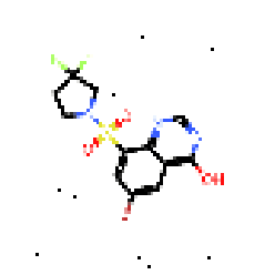 O=S(=O)(c1cc(Br)cc2c(O)ncnc12)N1CCC(F)(F)C1